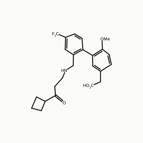 COc1ccc(CC(=O)O)cc1-c1ccc(C(F)(F)F)cc1CNCCC(=O)C1CCC1